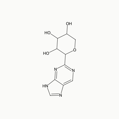 OC1COC(c2ncc3nc[nH]c3n2)C(O)C1O